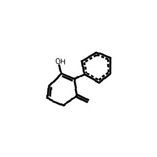 C=C1CC=CC(O)=C1c1ccccc1